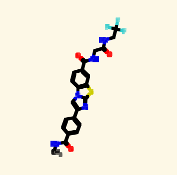 CNC(=O)c1ccc(-c2cn3c(n2)sc2cc(C(=O)NCC(=O)NCC(F)(F)F)ccc23)cc1